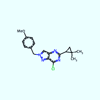 COc1ccc(Cn2cc3nc(C4CC4(C)C)nc(Cl)c3n2)cc1